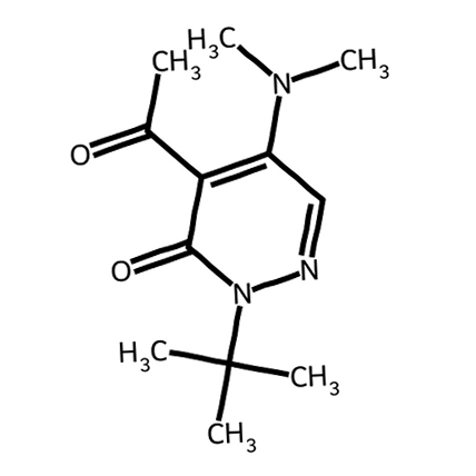 CC(=O)c1c(N(C)C)cnn(C(C)(C)C)c1=O